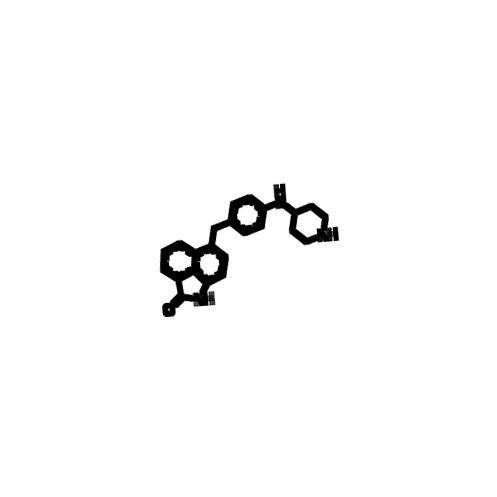 O=C1Nc2ccc(Cc3ccc(NC4CCNCC4)cc3)c3cccc1c23